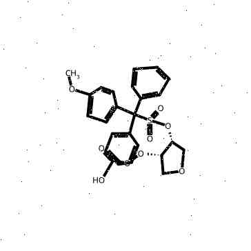 COc1ccc(C(c2ccccc2)(c2ccccc2)S(=O)(=O)O[C@@H]2COC[C@@H]2OOC(=O)O)cc1